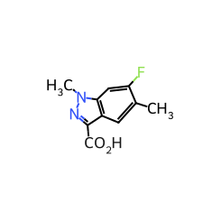 Cc1cc2c(C(=O)O)nn(C)c2cc1F